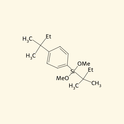 CCC(C)(C)c1ccc([Si](OC)(OC)C(C)(C)CC)cc1